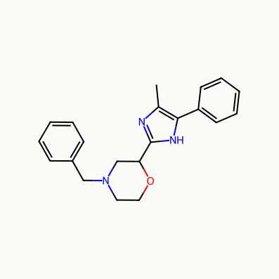 Cc1nc(C2CN(Cc3ccccc3)CCO2)[nH]c1-c1ccccc1